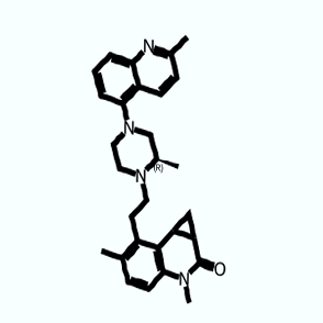 Cc1ccc2c(N3CCN(CCc4c(C)ccc5c4C4CC4C(=O)N5C)[C@H](C)C3)cccc2n1